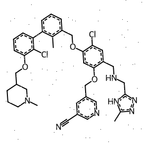 Cc1nnc(CNCc2cc(Cl)c(OCc3cccc(-c4cccc(OCC5CCCN(C)C5)c4Cl)c3C)cc2OCc2cncc(C#N)c2)[nH]1